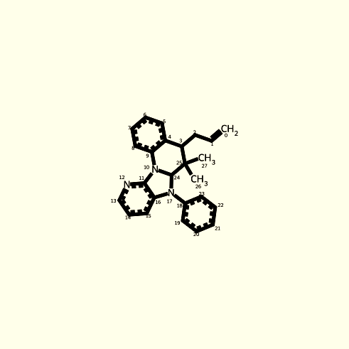 C=CCC1c2ccccc2N2c3ncccc3N(c3ccccc3)C2C1(C)C